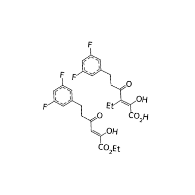 CC/C(C(=O)CCc1cc(F)cc(F)c1)=C(/O)C(=O)O.CCOC(=O)/C(O)=C/C(=O)CCc1cc(F)cc(F)c1